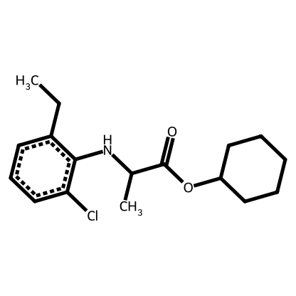 CCc1cccc(Cl)c1NC(C)C(=O)OC1CCCCC1